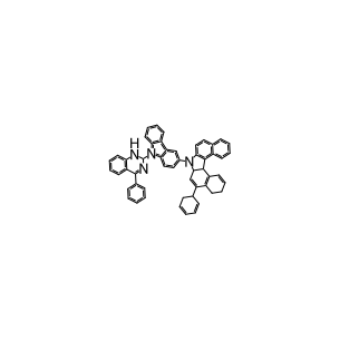 C1=CCC(C2=CC3C(C4=C2CCC=C4)c2c(ccc4ccccc24)N3c2ccc3c(c2)c2ccccc2n3C2N=C(c3ccccc3)c3ccccc3N2)C=C1